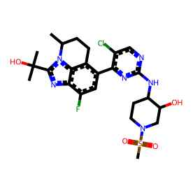 CC1CCc2c(-c3nc(NC4CCN(S(C)(=O)=O)CC4O)ncc3Cl)cc(F)c3nc(C(C)(C)O)n1c23